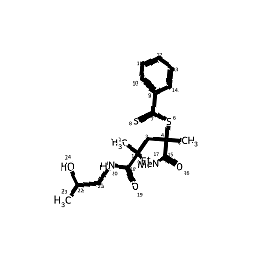 CCC(C)(CC(C)(SC(=S)c1ccccc1)C(=O)NC)C(=O)NCC(C)O